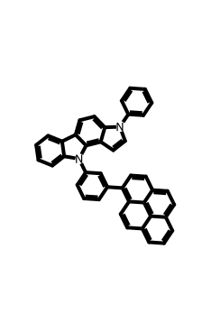 c1ccc(-n2ccc3c2ccc2c4ccccc4n(-c4cccc(-c5ccc6ccc7cccc8ccc5c6c78)c4)c23)cc1